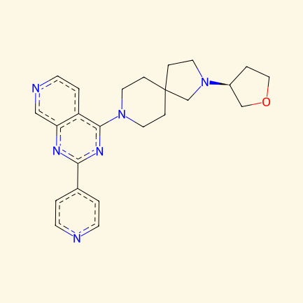 c1cc(-c2nc(N3CCC4(CC3)CCN([C@H]3CCOC3)C4)c3ccncc3n2)ccn1